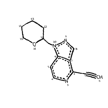 C#Cc1nccc2c1cnn2C1CCCCO1